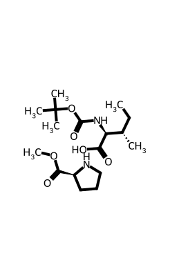 CC[C@H](C)[C@H](NC(=O)OC(C)(C)C)C(=O)O.COC(=O)[C@@H]1CCCN1